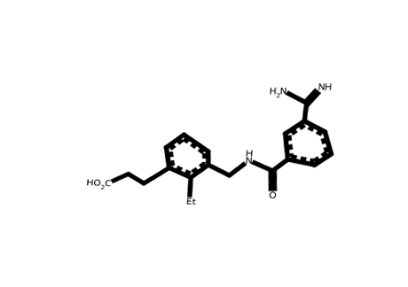 CCc1c(CCC(=O)O)cccc1CNC(=O)c1cccc(C(=N)N)c1